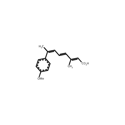 COc1ccc(\C(C)=C/C=C/C(C)=C/C(=O)O)cc1